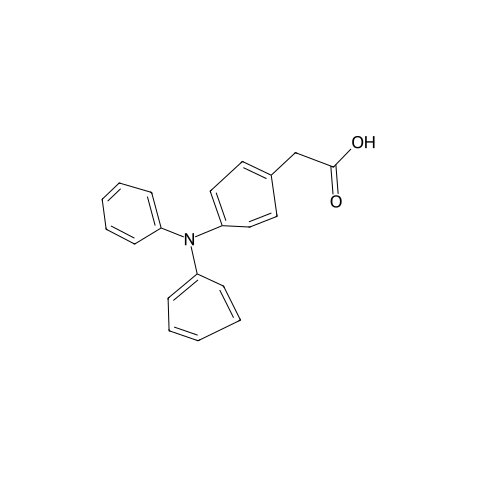 O=C(O)Cc1ccc(N(c2ccccc2)c2ccccc2)cc1